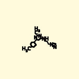 Cc1ccc(-c2cc(NCCCn3ccnc3)nc(C)n2)cc1